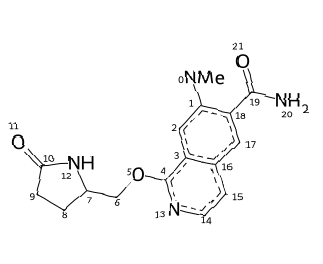 CNc1cc2c(OCC3CCC(=O)N3)nccc2cc1C(N)=O